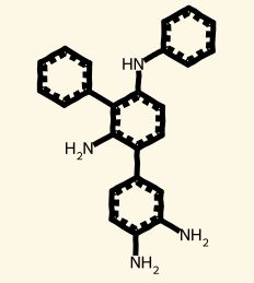 Nc1ccc(-c2ccc(Nc3ccccc3)c(-c3ccccc3)c2N)cc1N